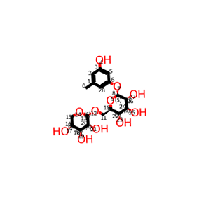 Cc1cc(O)cc(O[C@@H]2O[C@H](CO[C@@H]3OC[C@@H](O)[C@H](O)[C@H]3O)[C@@H](O)[C@H](O)[C@H]2O)c1